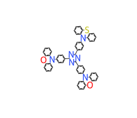 c1ccc2c(c1)Oc1ccccc1N2c1ccc(-c2nc(-c3ccc(N4c5ccccc5Oc5ccccc54)cc3)nc(-c3ccc(N4c5ccccc5Sc5ccccc54)cc3)n2)cc1